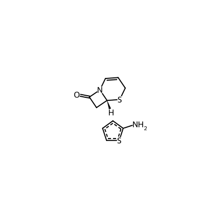 Nc1cccs1.O=C1C[C@H]2SCC=CN12